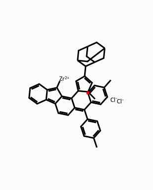 Cc1ccc(C(c2ccc(C)cc2)=c2ccc3c(c2C2=CC(C4C5CC6CC(C5)CC4C6)=CC2C)[C]([Zr+2])=c2ccccc2=3)cc1.[Cl-].[Cl-]